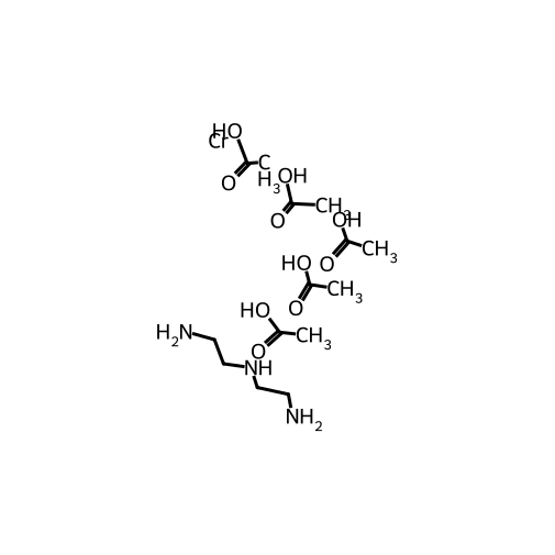 CC(=O)O.CC(=O)O.CC(=O)O.CC(=O)O.CC(=O)O.NCCNCCN.[Cr]